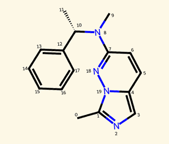 Cc1ncc2ccc(N(C)[C@@H](C)c3ccccc3)nn12